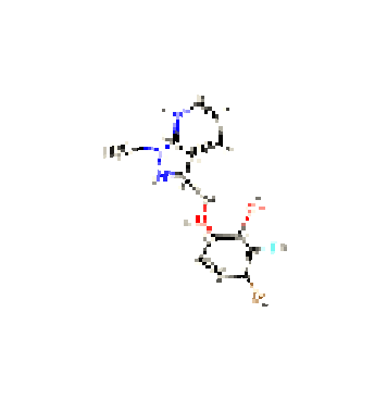 Cn1nc(COc2ccc(Br)c(F)c2O)c2cccnc21